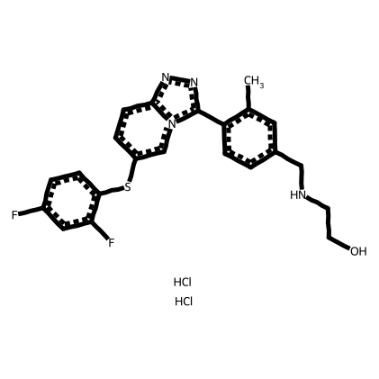 Cc1cc(CNCCO)ccc1-c1nnc2ccc(Sc3ccc(F)cc3F)cn12.Cl.Cl